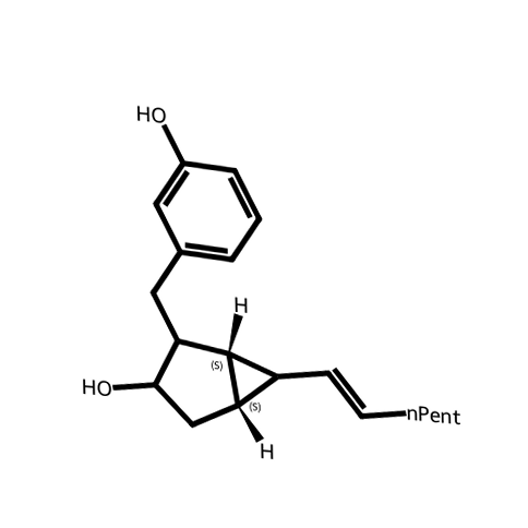 CCCCCC=CC1[C@H]2C(Cc3cccc(O)c3)C(O)C[C@@H]12